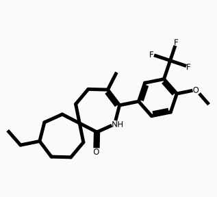 CCC1CCCC2(CCC(C)=C(c3ccc(OC)c(C(F)(F)F)c3)NC2=O)CC1